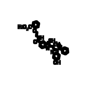 CCOC(=O)c1ccccc1OCCNC(=O)c1ccc2nc(C(C)c3nc4cc(O)ccc4n3C(=O)c3ccccc3)n(C)c2c1